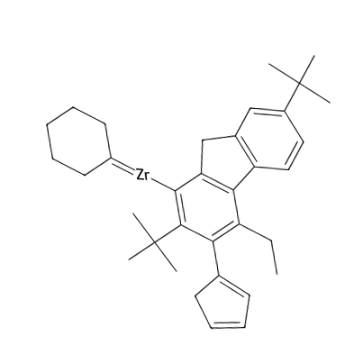 CCc1c(C2=CC=CC2)c(C(C)(C)C)[c]([Zr]=[C]2CCCCC2)c2c1-c1ccc(C(C)(C)C)cc1C2